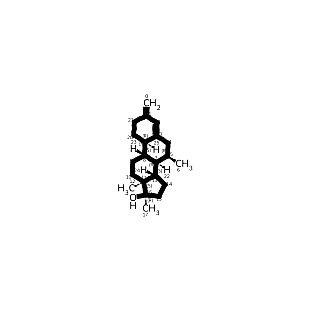 C=C1C=C2C[C@@H](C)[C@@H]3[C@H](CC[C@@]4(C)[C@H]3CC[C@@]4(C)O)[C@H]2CC1